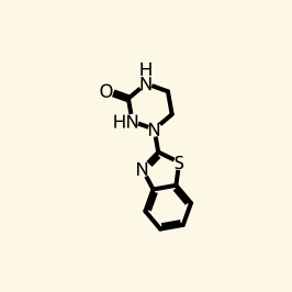 O=C1NCCN(c2nc3ccccc3s2)N1